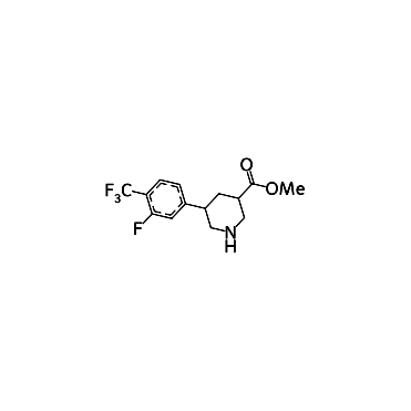 COC(=O)C1CNCC(c2ccc(C(F)(F)F)c(F)c2)C1